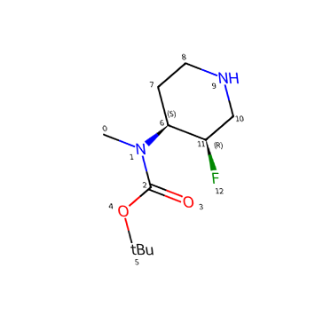 CN(C(=O)OC(C)(C)C)[C@H]1CCNC[C@H]1F